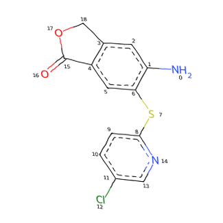 Nc1cc2c(cc1Sc1ccc(Cl)cn1)C(=O)OC2